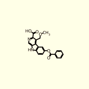 COCc1c(C(=O)O)ncc2[nH]c3ccc(OC(=O)c4ccccc4)cc3c12